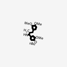 CCCCOc1ccc(C(=N)C(C)Cc2ccc(OC)c(OC)c2)cc1OC